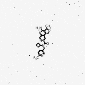 C[C@H]1OCc2c1c(N)nc1cnc(C(=O)N(Cc3ccc(C(F)(F)F)nn3)C3CCC3)cc21